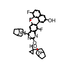 Oc1cc(-c2c(F)cc3c(N4CC5CCC(C4)N5)nc(OCC4(CN5C6CCC5CC(O)C6)CC4)nc3c2F)c2c(F)c(F)ccc2c1